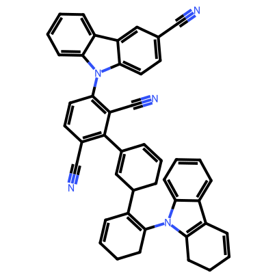 N#Cc1ccc2c(c1)c1ccccc1n2-c1ccc(C#N)c(C2=CC(C3=C(n4c5c(c6ccccc64)C=CCC5)CCC=C3)CC=C2)c1C#N